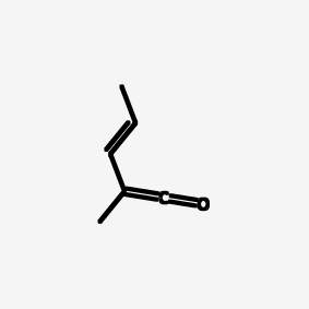 CC=CC(C)=C=O